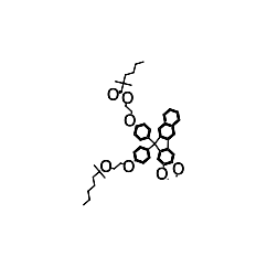 CCCCCC(C)(C)OCCOc1ccc(C2(c3ccc(OCCOC(=O)C(C)(C)CCCC)cc3)c3cc(OC)c(OC)cc3-c3cc4ccccc4cc32)cc1